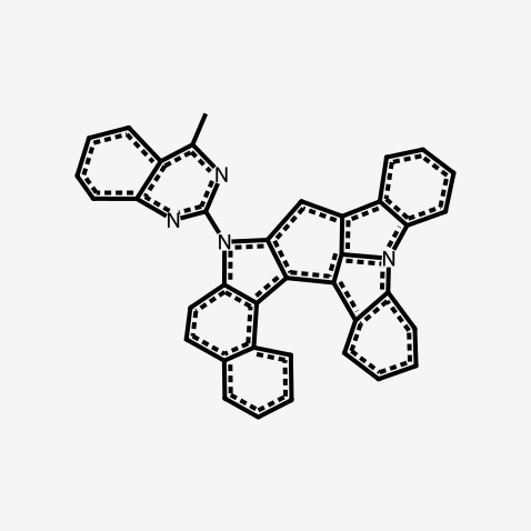 Cc1nc(-n2c3ccc4ccccc4c3c3c4c5ccccc5n5c6ccccc6c(cc32)c45)nc2ccccc12